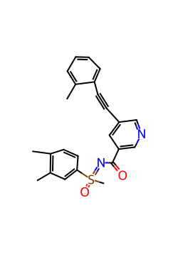 Cc1ccc(S(C)(=O)=NC(=O)c2cncc(C#Cc3ccccc3C)c2)cc1C